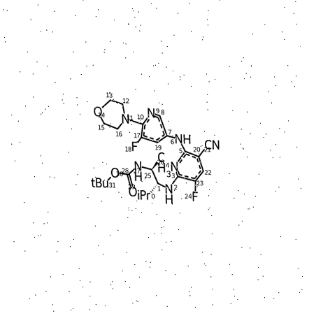 CC(C)[C@@H](Nc1nc(Nc2cnc(N3CCOCC3)c(F)c2)c(C#N)cc1F)[C@H](C)NC(=O)OC(C)(C)C